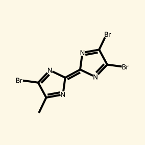 CC1=NC(=C2N=C(Br)C(Br)=N2)N=C1Br